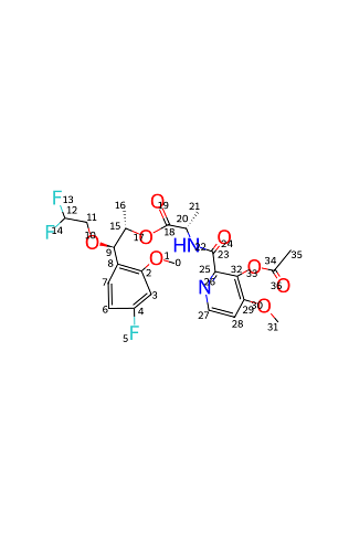 COc1cc(F)ccc1[C@@H](OCC(F)F)[C@H](C)OC(=O)[C@H](C)NC(=O)c1nccc(OC)c1OC(C)=O